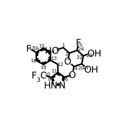 OCC1OC(Oc2n[nH]c(C(F)(F)F)c2Cc2ccc(F)cc2)C(O)C(O)C1F